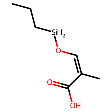 CCC[SiH2]OC=C(C)C(=O)O